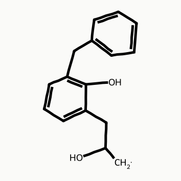 [CH2]C(O)Cc1cccc(Cc2ccccc2)c1O